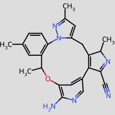 Cc1ccc2c(c1)C(C)Oc1cc(cnc1N)C1=C(Cc3cc(C)nn3-2)C(C)N=C1C#N